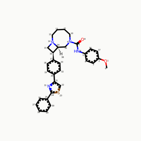 COc1ccc(NC(=O)N2CCCCN3C[C@H](c4ccc(-c5csc(-c6ccccc6)n5)cc4)[C@@H]3C2)cc1